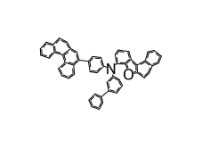 c1ccc(-c2cccc(N(c3ccc(-c4cc5ccc6ccccc6c5c5ccccc45)cc3)c3cccc4c3oc3ccc5ccccc5c34)c2)cc1